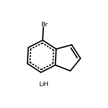 Brc1cccc2c1C=CC2.[LiH]